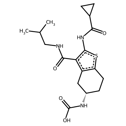 CC(C)CNC(=O)c1c(NC(=O)C2CC2)sc2c1C[C@@H](NC(=O)O)CC2